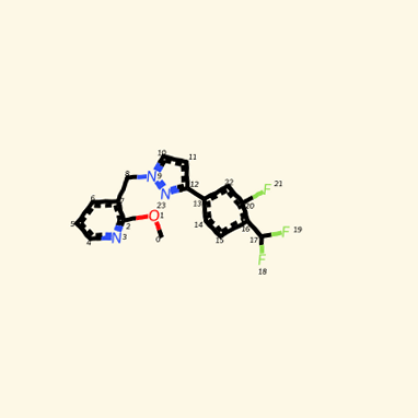 COc1ncccc1Cn1ccc(-c2ccc(C(F)F)c(F)c2)n1